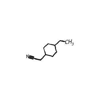 CCC1CCC(CC#N)CC1